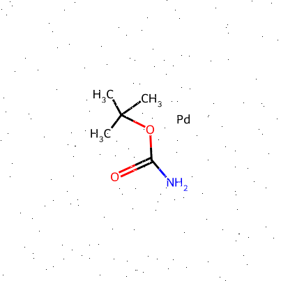 CC(C)(C)OC(N)=O.[Pd]